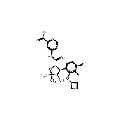 C[C@@H]1[C@H](c2ccc(F)c(F)c2OC2CCC2)[C@H](C(=O)Nc2ccnc(C(N)=O)c2)O[C@]1(C)C(F)(F)F